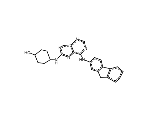 OC1CCC(Nc2ncc3ncnc(Nc4ccc5c(c4)Cc4ccccc4-5)c3n2)CC1